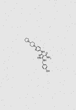 NC(=O)c1c(Nc2ccc(N3CCC(N4CCCC4)CC3)nc2)n[nH]c1NCc1ccc(O)cc1